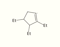 CCC1=[C]CC(CC)C1CC